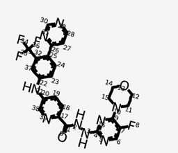 O=C(NNc1ncc(F)c(N2CCOCC2)n1)c1ccc(Nc2ccc(-c3ccncn3)c(C(F)(F)F)c2)cn1